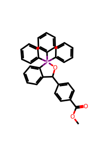 COC(=O)c1ccc(C2OP(c3ccccc3)(c3ccccc3)(c3ccccc3)c3ccccc32)cc1